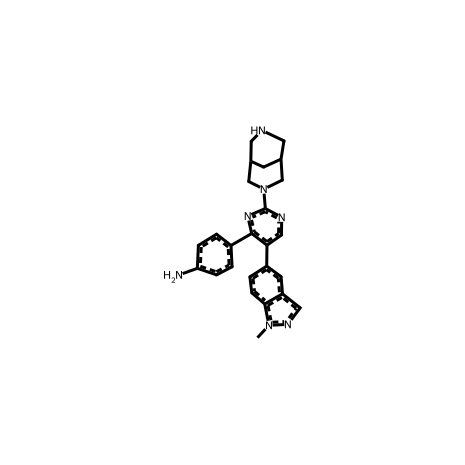 Cn1ncc2cc(-c3cnc(N4CC5CNCC(C5)C4)nc3-c3ccc(N)cc3)ccc21